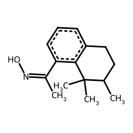 C/C(=N/O)c1cccc2c1C(C)(C)C(C)CC2